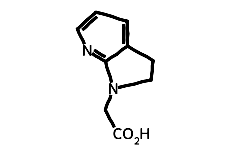 O=C(O)CN1CCc2cccnc21